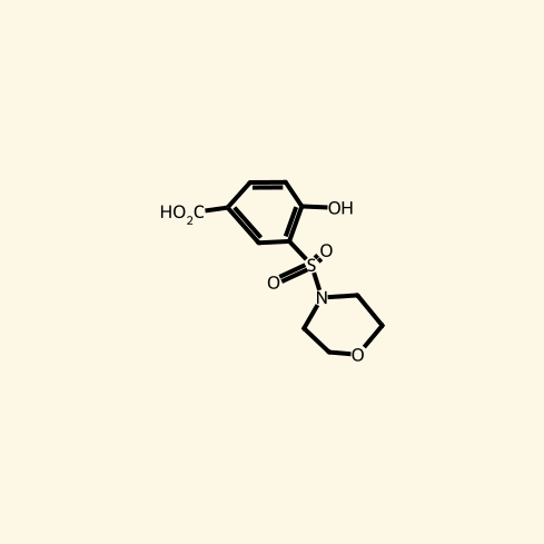 O=C(O)c1ccc(O)c(S(=O)(=O)N2CCOCC2)c1